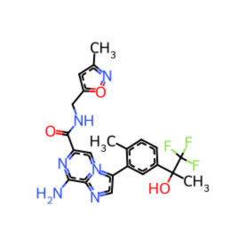 Cc1cc(CNC(=O)c2cn3c(-c4cc(C(C)(O)C(F)(F)F)ccc4C)cnc3c(N)n2)on1